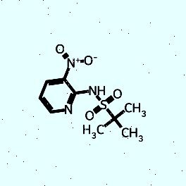 CC(C)(C)S(=O)(=O)Nc1ncccc1[N+](=O)[O-]